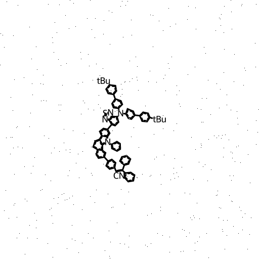 CC(C)(C)c1ccc(-c2ccc(N(c3ccc(-c4ccc(C(C)(C)C)cc4)cc3)c3ccc(-c4ccc5c6ccc7ccc(-c8ccc(C(C#N)=C(c9ccccc9)c9ccccc9)cc8)cc7c6n(-c6ccccc6)c5c4)c4nsnc34)cc2)cc1